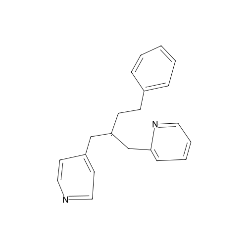 c1ccc(CC[C](Cc2ccncc2)Cc2ccccn2)cc1